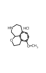 COc1ccc2c3c1CCOC3CNCC2.Cl